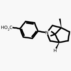 CC1(C)[C@@H]2CC[C@@]1(C)CN(c1ccc(C(=O)O)cc1)C2